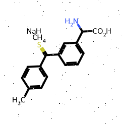 C.Cc1ccc(C(=S)c2cccc(C(N)C(=O)O)c2)cc1.[NaH]